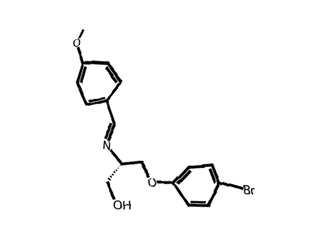 COc1ccc(/C=N/[C@@H](CO)COc2ccc(Br)cc2)cc1